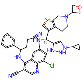 N#CCCC(Nc1c(C#N)cnc2c(Cl)cc(N[C@@H](C3=CN(C4CC4)NN3)c3csc4c3CCN(C3COC3)C4)cc12)c1ccccc1